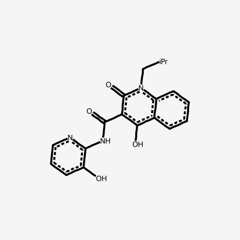 CC(C)Cn1c(=O)c(C(=O)Nc2ncccc2O)c(O)c2ccccc21